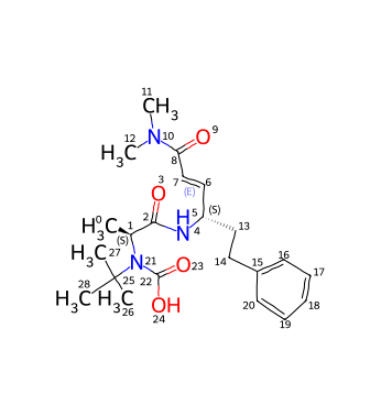 C[C@@H](C(=O)N[C@H](/C=C/C(=O)N(C)C)CCc1ccccc1)N(C(=O)O)C(C)(C)C